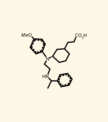 COc1ccc(N(CCNC(C)c2ccccc2)[C@@H]2CCCC(CCC(=O)O)C2)cc1